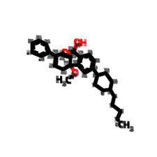 CCCCCC1CCC(c2ccc(C(=O)O)c(C3(OC)C=CC(c4ccccc4)=CC3)c2)CC1